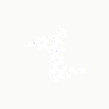 COc1ccc(-n2nc(C(N)=O)c3c2C(=O)N(c2ccc(-c4ccccc4CNCCO)cc2)CC3)cc1